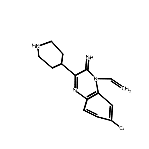 C=Cn1c(=N)c(C2CCNCC2)nc2ccc(Cl)cc21